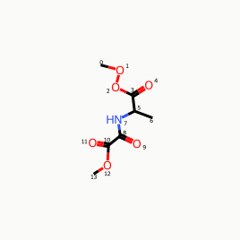 COOC(=O)C(C)NC(=O)C(=O)OC